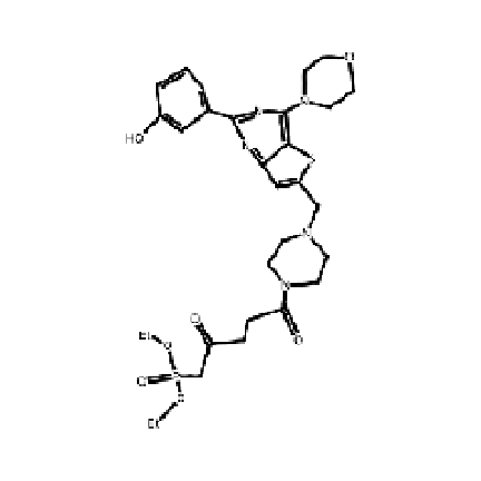 CCOP(=O)(CC(=O)CCC(=O)N1CCN(Cc2cc3nc(-c4cccc(O)c4)nc(N4CCOCC4)c3s2)CC1)OCC